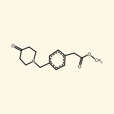 COC(=O)Cc1ccc(CN2CCC(=O)CC2)cc1